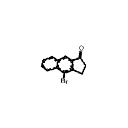 O=C1CCc2c1cc1ccccc1c2Br